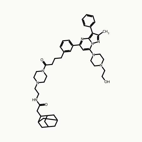 Cc1nn2c(N3CCN(CCO)CC3)cc(-c3cccc(CCCC(=O)N4CCN(CCNC(=O)CC5C6CC7CC(C6)CC5C7)CC4)c3)nc2c1-c1ccccc1